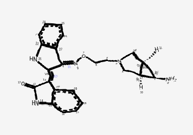 N[C@H]1[C@H]2CN(CCO/N=C3/C(=C4/C(=O)Nc5ccccc54)Nc4ccccc43)C[C@@H]12